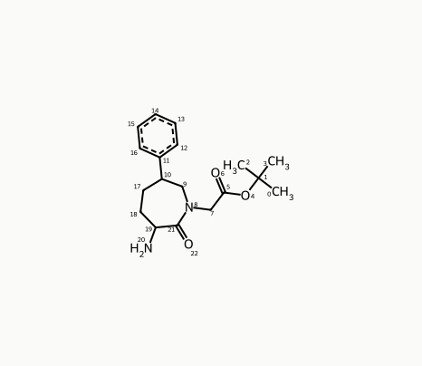 CC(C)(C)OC(=O)CN1CC(c2ccccc2)CCC(N)C1=O